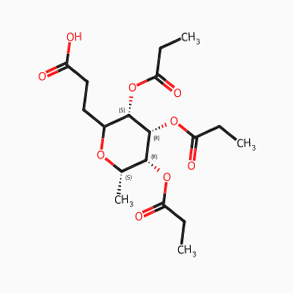 CCC(=O)O[C@@H]1[C@H](OC(=O)CC)[C@H](C)OC(CCC(=O)O)[C@@H]1OC(=O)CC